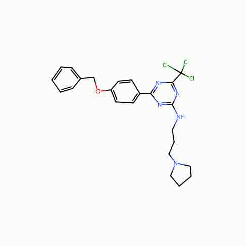 ClC(Cl)(Cl)c1nc(NCCCN2CCCC2)nc(-c2ccc(OCc3ccccc3)cc2)n1